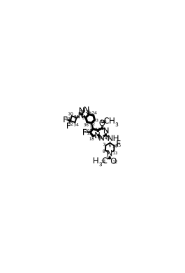 COc1nc(N[C@H]2CCN(C(C)=O)C[C@H]2F)nn2cc(F)c(-c3ccc4nnn(C5CC(F)(F)C5)c4c3)c12